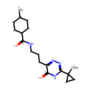 COC1(c2nnc(CCCNC(=O)C3CCC(C(C)(C)C)CC3)c(=O)[nH]2)CC1